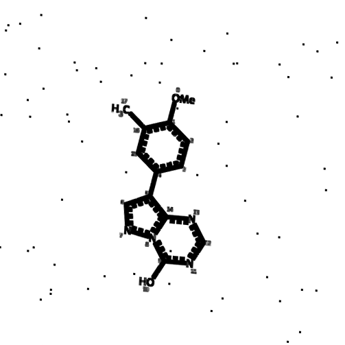 COc1ccc(-c2cnn3c(O)ncnc23)cc1C